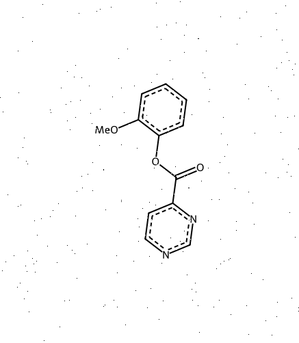 COc1ccccc1OC(=O)c1ccncn1